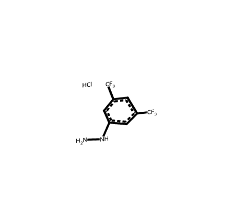 Cl.NNc1cc(C(F)(F)F)cc(C(F)(F)F)c1